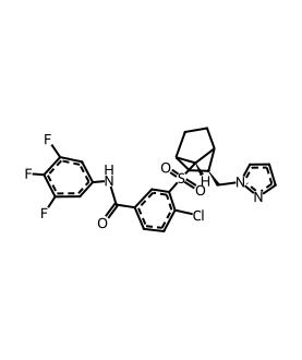 O=C(Nc1cc(F)c(F)c(F)c1)c1ccc(Cl)c(S(=O)(=O)[C@@H]2C3CCC2[C@@H](Cn2cccn2)C3)c1